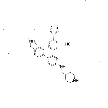 Cl.NCc1ccc(-c2ccc(NCC3CCNCC3)nc2-c2ccc(-c3ccoc3)cc2)cc1